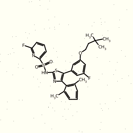 Cc1cccc(C)c1-c1nc(NS(=O)(=O)c2cccc(F)n2)sc1-c1cc(F)cc(OCCC(C)(C)C)c1